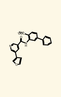 O=C(Nc1cc(-c2ccccc2)ccc1C(=O)[O-])c1cncc(-c2ccoc2)c1.[Na+]